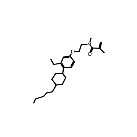 C=C(C)C(=O)N(C)CCOc1ccc(C2CCC(CCCCC)CC2)c(CC)c1